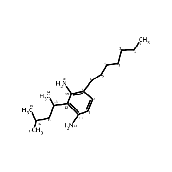 CCCCCCCc1ccc(N)c(C(C)CC(C)C)c1N